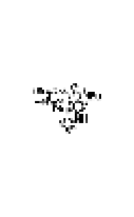 CCC(C)CN(C(=O)CCc1cc(C(C)(C)C)c(O)c(C(C)(C)C)c1)c1ccc(Nc2ccccc2)cc1